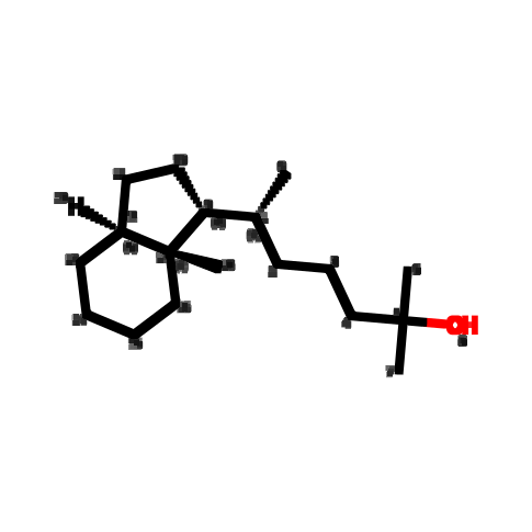 C[C@H](CCCC(C)(C)O)[C@H]1CC[C@@H]2CCCC[C@]21C